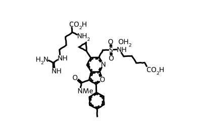 CNC(=O)c1c(-c2ccc(C)cc2)oc2nc(CS(=O)(=O)NCCCCC(=O)O)c(C3CC3)cc12.N=C(N)NCCCC(N)C(=O)O.O